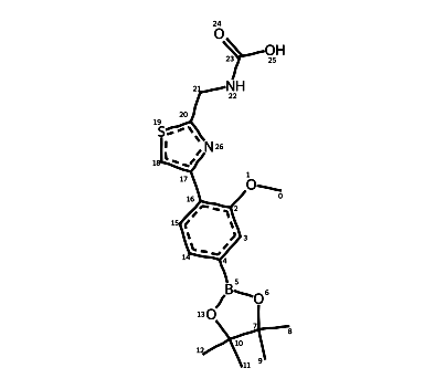 COc1cc(B2OC(C)(C)C(C)(C)O2)ccc1-c1csc(CNC(=O)O)n1